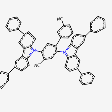 N#Cc1cccc(-c2cc(-n3c4ccc(-c5ccccc5)cc4c4cc(-c5ccccc5)ccc43)c(C#N)cc2-n2c3ccc(-c4ccccc4)cc3c3cc(-c4ccccc4)ccc32)c1